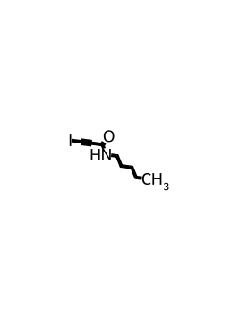 CCCCCNC(=O)C#CI